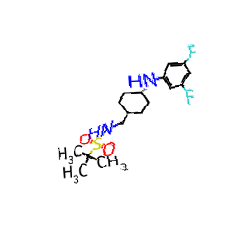 CC(C)(C)S(=O)(=O)NC[C@H]1CC[C@H](Nc2cc(F)cc(F)c2)CC1